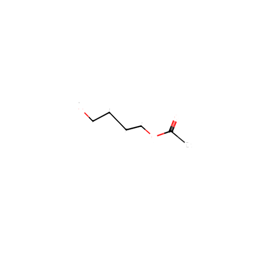 CCC(=O)OCCCC[O]